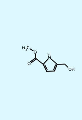 COC(=O)c1ccc(CO)[nH]1